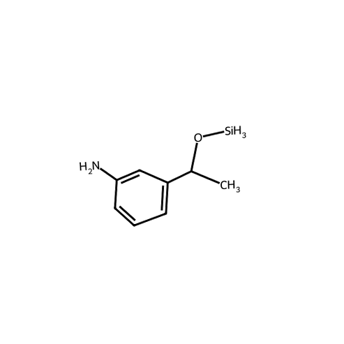 CC(O[SiH3])c1cccc(N)c1